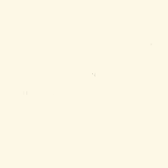 CCCCc1ccc(Cn2ccc3cc(/C(C)=C/C(=O)O)ccc32)cc1